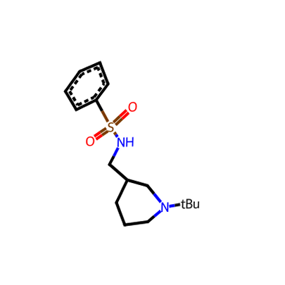 CC(C)(C)N1CCCC(CNS(=O)(=O)c2ccccc2)C1